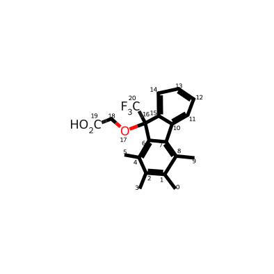 Cc1c(C)c(C)c2c(c1C)-c1ccccc1C2(OCC(=O)O)C(F)(F)F